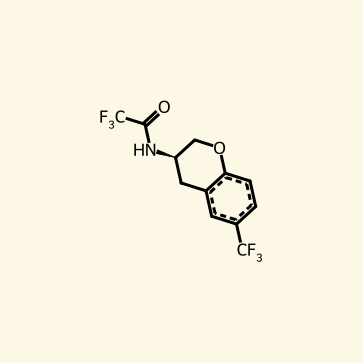 O=C(N[C@H]1COc2ccc(C(F)(F)F)cc2C1)C(F)(F)F